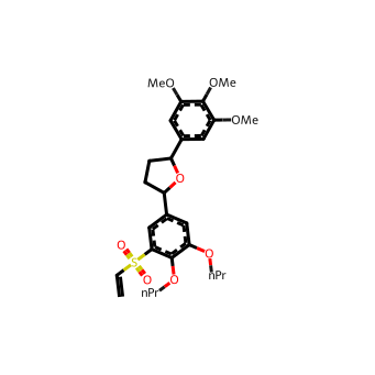 C=CS(=O)(=O)c1cc(C2CCC(c3cc(OC)c(OC)c(OC)c3)O2)cc(OCCC)c1OCCC